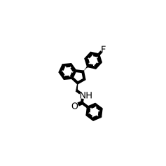 O=C(NC[C@@H]1C[C@@H](c2ccc(F)cc2)c2ccccc21)c1ccccc1